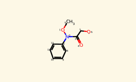 CON(C(=O)C[O])c1ccccc1